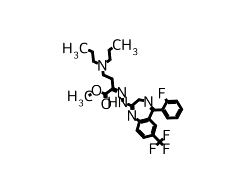 CCCN(CCC)CCC(=NNC1=Nc2ccc(C(F)(F)F)cc2C(c2ccccc2F)=NC1)C(=O)OC